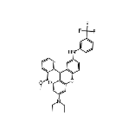 CCN(CC)c1ccc2c(c1)Oc1ccc(Nc3cccc(C(F)(F)F)c3)cc1C2c1ccccc1C(=O)OC